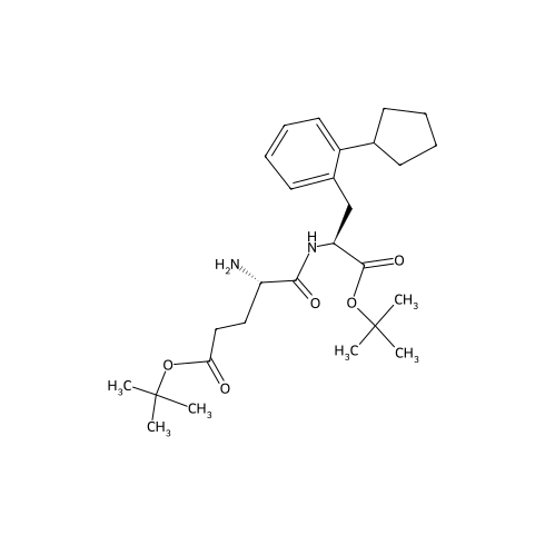 CC(C)(C)OC(=O)CC[C@H](N)C(=O)N[C@@H](Cc1ccccc1C1CCCC1)C(=O)OC(C)(C)C